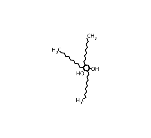 CCCCCCCCCCc1cc(O)c(CCCCCCCCCC)c(O)c1CCCCCCCCCC